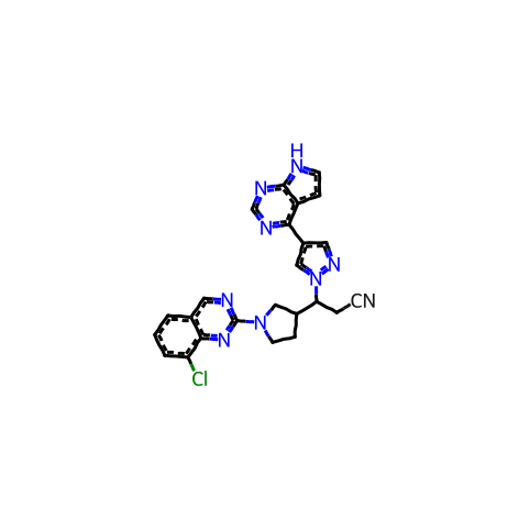 N#CCC(C1CCN(c2ncc3cccc(Cl)c3n2)C1)n1cc(-c2ncnc3[nH]ccc23)cn1